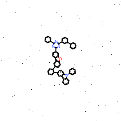 c1ccc(-c2cccc(-c3nc(-c4ccccc4)nc(-c4ccc5c(c4)oc4ccc(-c6ccccc6-c6ccc7c(c6)c6ccccc6n7-c6ccccc6)cc45)n3)c2)cc1